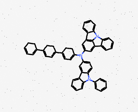 C1=CCCC(C2=CC=C(C3=CC=C(N(c4ccc5c(c4)c4ccccc4n5-c4ccccc4)c4cc5c6ccccc6n6c7ccccc7c(c4)c56)CC3)CC2)=C1